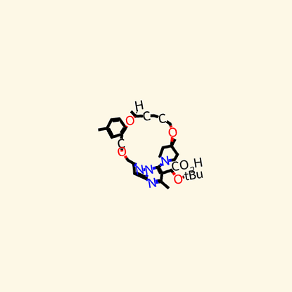 Cc1ccc2c(c1)COCc1cc3nc(C)c([C@H](OC(C)(C)C)C(=O)O)c(n3n1)N1CCC(C)(CC1)OCCCC[C@H](C)O2